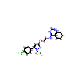 Cn1nc(OCCNc2ncnc3c2C=CCC3)cc1-c1ccc(Cl)cc1